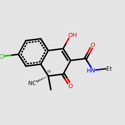 CCNC(=O)C1=C(O)c2ccc(Cl)cc2[C@@](C)(C#N)C1=O